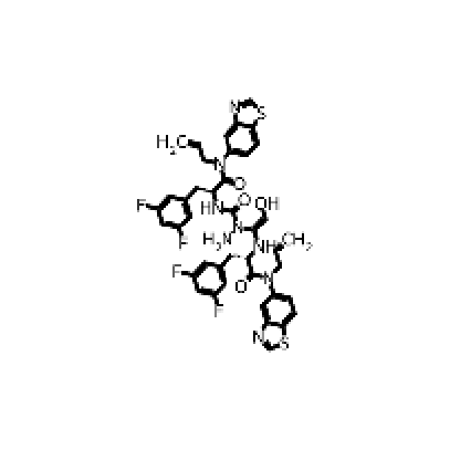 C=CCN(C(=O)[C@H](Cc1cc(F)cc(F)c1)NC(=O)N(N)/C(=C\O)N[C@@H](Cc1cc(F)cc(F)c1)C(=O)N(CC=C)c1ccc2scnc2c1)c1ccc2scnc2c1